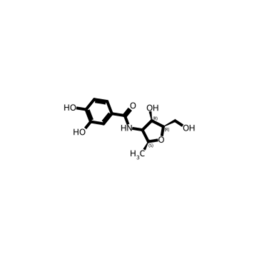 C[C@@H]1O[C@H](CO)[C@H](O)C1NC(=O)c1ccc(O)c(O)c1